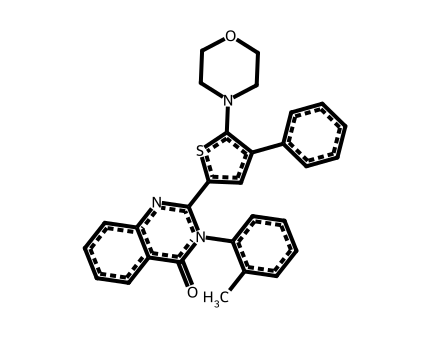 Cc1ccccc1-n1c(-c2cc(-c3ccccc3)c(N3CCOCC3)s2)nc2ccccc2c1=O